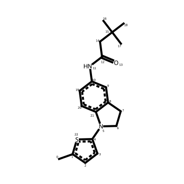 Cc1ccc(N2CCc3cc(NC(=O)CC(C)(C)C)ccc32)s1